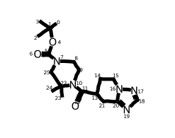 CC(C)(C)OC(=O)N1CCN(C(=O)C2CCn3ncnc3C2)C(C)(C)C1